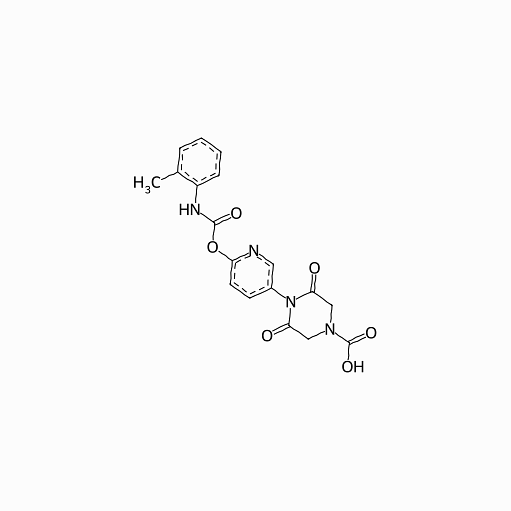 Cc1ccccc1NC(=O)Oc1ccc(N2C(=O)CN(C(=O)O)CC2=O)cn1